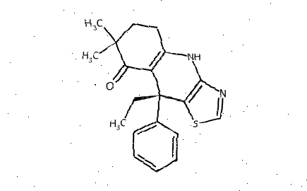 CC[C@@]1(c2ccccc2)C2=C(CCC(C)(C)C2=O)Nc2ncsc21